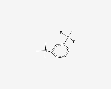 CC(F)(F)c1cccc([Si](C)(C)C)c1